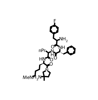 CCCC(NC(=O)[C@@H](Cc1ccccc1)NC(=O)C(N)Cc1ccc(F)cc1)C(=O)N[C@H](CCCCNC)C(=O)N1CCC(C)(N)C1